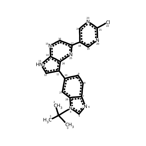 CC(C)(C)n1cnc2ccc(-c3c[nH]c4ncc(-c5cnc(Cl)nc5)nc34)cc21